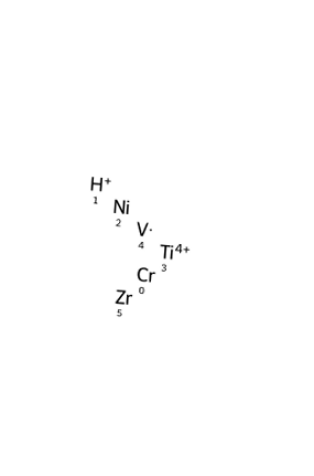 [Cr].[H+].[Ni].[Ti+4].[V].[Zr]